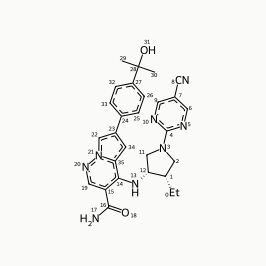 CC[C@H]1CN(c2ncc(C#N)cn2)C[C@H]1Nc1c(C(N)=O)cnn2cc(-c3ccc(C(C)(C)O)cc3)cc12